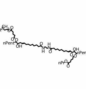 CCCCCC(OC(=O)CCCC(=O)OCCC)C(O)CC=CCCCCCCCC(=O)NCCNC(=O)CCCCCCCC=CCC(O)C(CCCCC)OC(=O)CCCC(=O)OCCN(C)CC